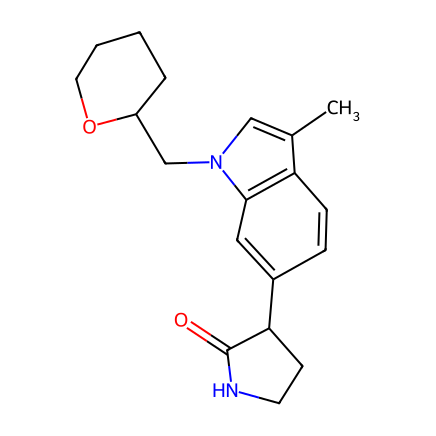 Cc1cn(CC2CCCCO2)c2cc(C3CCNC3=O)ccc12